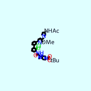 COc1nc(-c2cccc(-c3cccc(NC(=O)c4nc5c(n4C)CCN(C(=O)OC(C)(C)C)C5)c3Cl)c2Cl)ccc1CN1CC[C@@H](NC(C)=O)C1